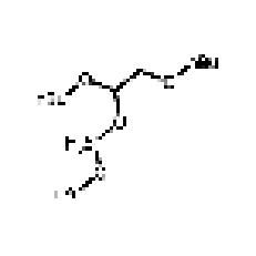 CCCCOCC(OCCCC)O[SiH2]OCCC